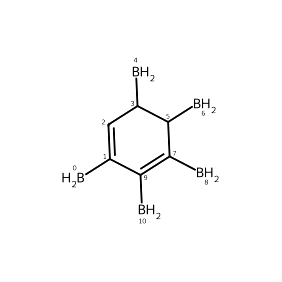 BC1=CC(B)C(B)C(B)=C1B